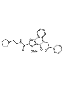 COc1c(C(=O)NCCN2CCCC2)sc2c1c(=O)n(CC(=O)c1ccccc1)c1ccccc21